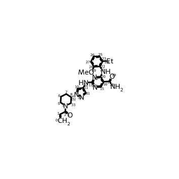 C=CC(=O)N1CCC[C@H](n2cc(Nc3ncc(C(N)=O)c(Nc4c(CC)cccc4OC)n3)cn2)C1